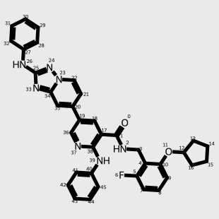 O=C(NCc1c(F)cccc1OC1CCCC1)c1cc(-c2ccn3nc(Nc4ccccc4)nc3c2)cnc1Nc1ccccc1